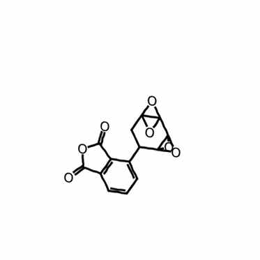 O=C1OC(=O)c2c1cccc2C1CC23OC2(O3)C23OC12O3